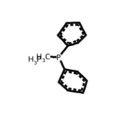 CP(c1ccccc1)c1ccccc1.P